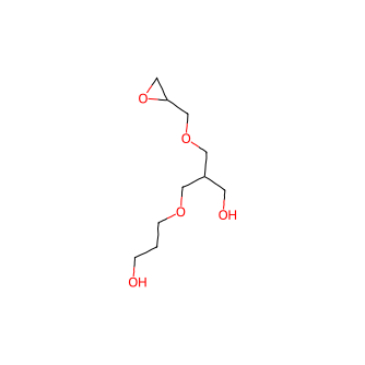 OCCCOCC(CO)COCC1CO1